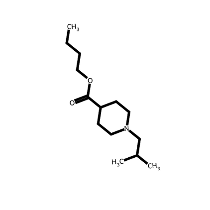 CCCCOC(=O)C1CCN(C[C](C)C)CC1